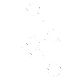 Cc1cnc(-c2ccccc2OCc2ccccc2)n(CCc2ccccc2)c1=O